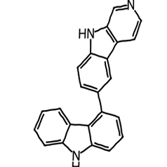 c1ccc2c(c1)[nH]c1cccc(-c3ccc4[nH]c5cnccc5c4c3)c12